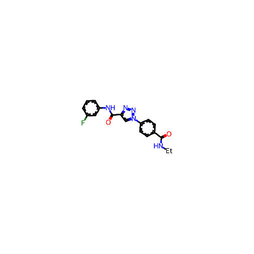 CCNC(=O)c1ccc(-n2cc(C(=O)Nc3cccc(F)c3)nn2)cc1